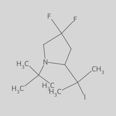 CC(C)(I)C1CC(F)(F)CN1C(C)(C)C